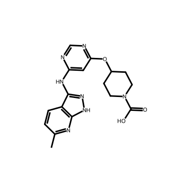 Cc1ccc2c(Nc3cc(OC4CCN(C(=O)O)CC4)ncn3)n[nH]c2n1